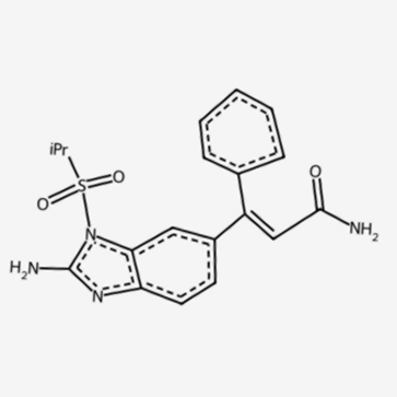 CC(C)S(=O)(=O)n1c(N)nc2ccc(C(=CC(N)=O)c3ccccc3)cc21